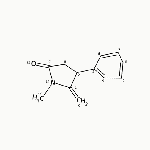 C=C1C(c2ccccc2)CC(=O)N1C